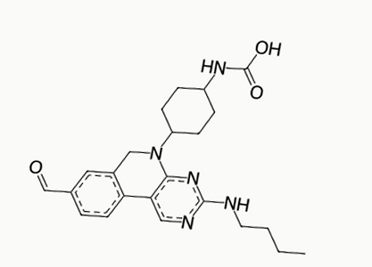 CCCCNc1ncc2c(n1)N(C1CCC(NC(=O)O)CC1)Cc1cc(C=O)ccc1-2